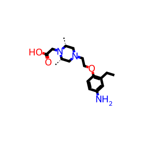 CCc1cc(N)ccc1OCCN1C[C@@H](C)N(CC(=O)O)[C@@H](C)C1